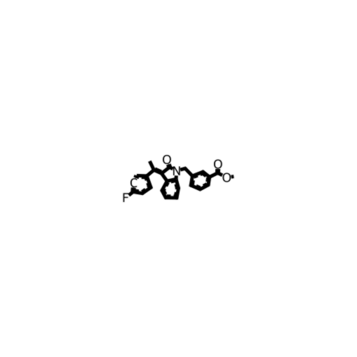 COC(=O)c1cccc(CN2C(=O)/C(=C(\C)c3ccc(F)cc3)c3ccccc32)c1